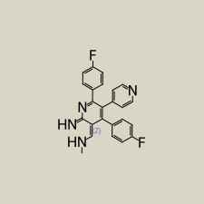 CN/C=C1\C(=N)N=C(c2ccc(F)cc2)C(c2ccncc2)=C1c1ccc(F)cc1